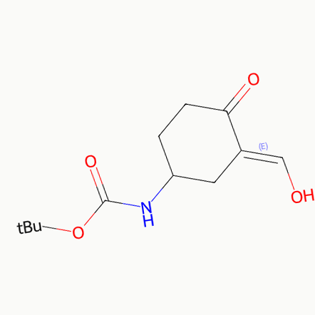 CC(C)(C)OC(=O)NC1CCC(=O)/C(=C/O)C1